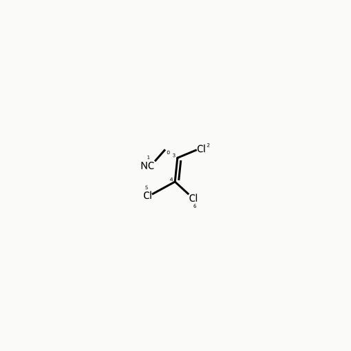 CC#N.ClC=C(Cl)Cl